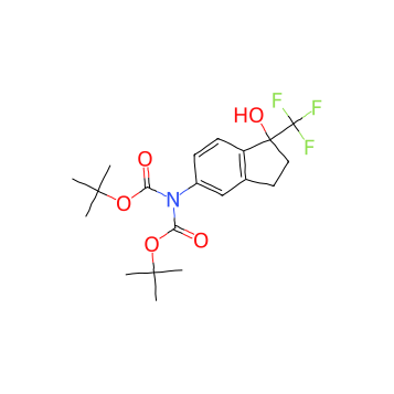 CC(C)(C)OC(=O)N(C(=O)OC(C)(C)C)c1ccc2c(c1)CCC2(O)C(F)(F)F